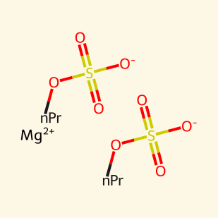 CCCOS(=O)(=O)[O-].CCCOS(=O)(=O)[O-].[Mg+2]